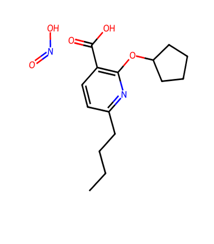 CCCCc1ccc(C(=O)O)c(OC2CCCC2)n1.O=NO